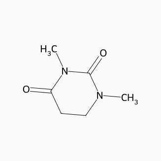 CN1CCC(=O)N(C)C1=O